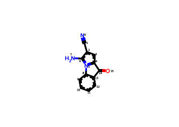 N#Cc1cc2n(c1N)-c1ccccc1C2=O